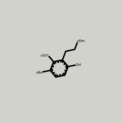 CCCCCCCCCCCCc1c(O)ccc(CCCC)c1CCCCCCCC